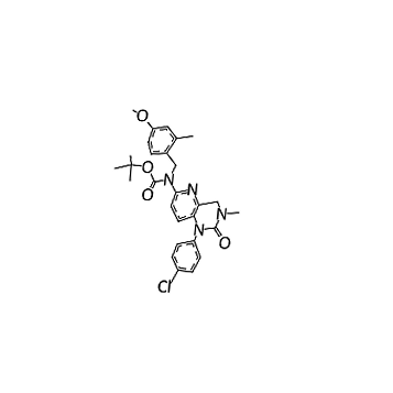 COc1ccc(CN(C(=O)OC(C)(C)C)c2ccc3c(n2)CN(C)C(=O)N3c2ccc(Cl)cc2)c(C)c1